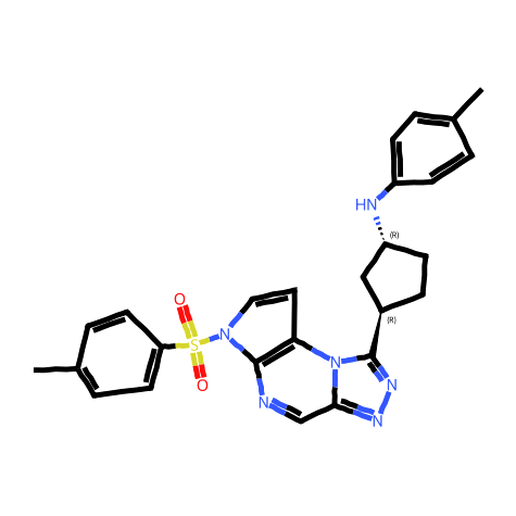 Cc1ccc(N[C@@H]2CC[C@@H](c3nnc4cnc5c(ccn5S(=O)(=O)c5ccc(C)cc5)n34)C2)cc1